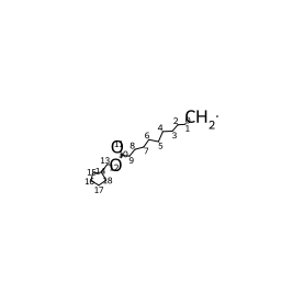 [CH2]CCCCCCCCCC(=O)OCC1CCCC1